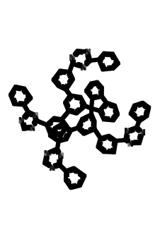 c1ccc(-c2ncnc(-c3cccc(-c4cc(-c5cccc(-c6ncnc(-c7ccccc7)n6)c5)cc(C5(c6cc(-c7cccc(-c8ncnc(-c9ccccc9)n8)c7)cc(-c7cccc(-c8ncnc(-c9ccccc9)n8)c7)c6)c6ccccc6-c6ccccc65)c4)c3)n2)cc1